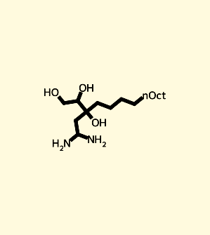 CCCCCCCCCCCCC(O)(CC(N)N)C(O)CO